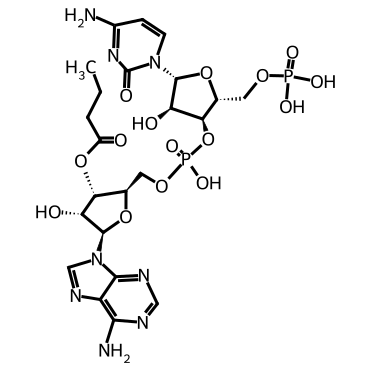 CCCC(=O)O[C@H]1[C@@H](O)[C@H](n2cnc3c(N)ncnc32)O[C@@H]1COP(=O)(O)O[C@H]1[C@@H](O)[C@H](n2ccc(N)nc2=O)O[C@@H]1COP(=O)(O)O